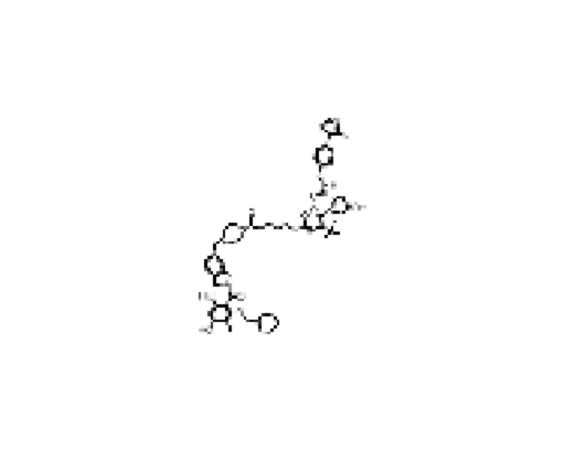 Cc1ncsc1-c1ccc(CNC(=O)[C@@H]2C[C@@H](O)CN2C(=O)C(NC(=O)CCCCCC(=O)N2CCN(Cc3ccc4c(c3)CN(C(=O)c3c(O)cc(O)c(C)c3OCC3CCCCC3)C4)CC2)C(C)(C)C)cc1